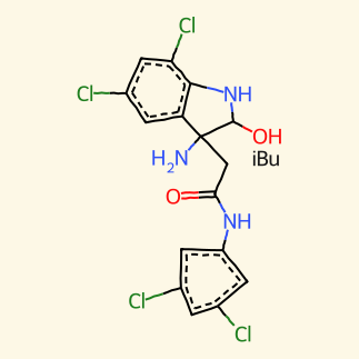 CC[C@H](C)C(C(=O)Nc1cc(Cl)cc(Cl)c1)C1(N)c2cc(Cl)cc(Cl)c2NC1O